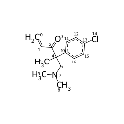 C=CC(=O)C(C)(CN(C)C)c1ccc(Cl)cc1